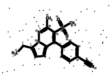 CCc1ccc2c(-c3ccc(C#N)cc3)c(S(C)(=O)=O)c(C)nn12